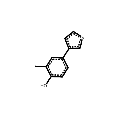 Cc1cc(-c2ccsc2)ccc1O